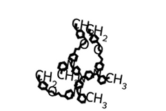 C=Cc1ccc(COCCCc2ccc(N(c3ccc(N(c4ccc(N(c5ccc(CCCOCc6ccc(C=C)cc6)cc5)c5cccc(C)c5)cc4)c4ccc(N(c5ccc(CCCOCc6ccc(C=C)cc6)cc5)c5cccc(C)c5)cc4)cc3)c3cccc(C)c3)cc2)cc1